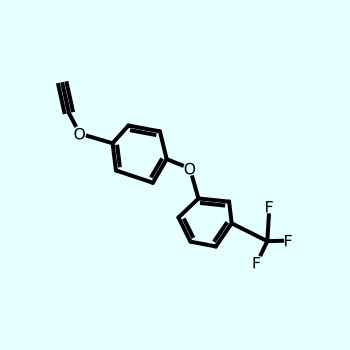 C#COc1ccc(Oc2cccc(C(F)(F)F)c2)cc1